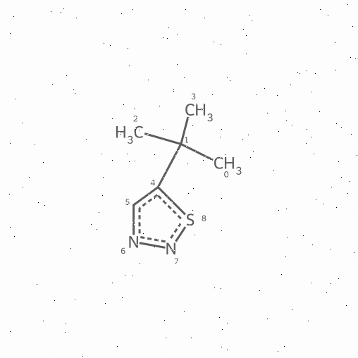 CC(C)(C)c1cnns1